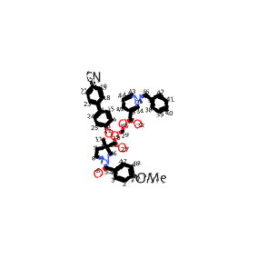 COc1ccc(C(=O)N2CCC(COc3ccc(-c4ccc(C#N)cc4)cc3)(C(=O)OCOC(=O)C3=CN(Cc4ccccc4)C=CC3)C2)cc1